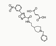 O=C(NCCC1CCN(Cc2ccccc2)CC1)c1noc(-c2cccc([N+](=O)[O-])c2)n1.O=C(O)C=CC(=O)O